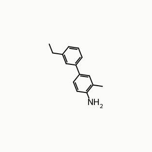 CCc1cccc(-c2ccc(N)c(C)c2)c1